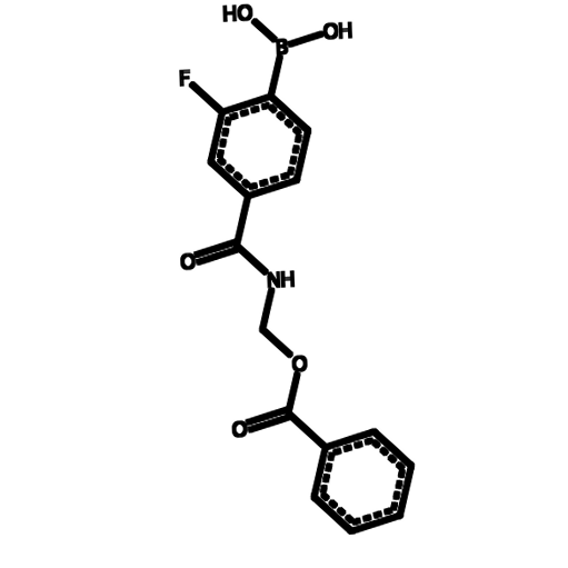 O=C(NCOC(=O)c1ccccc1)c1ccc(B(O)O)c(F)c1